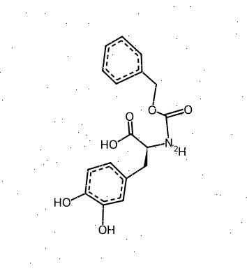 [2H]N(C(=O)OCc1ccccc1)[C@@H](Cc1ccc(O)c(O)c1)C(=O)O